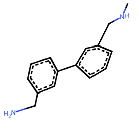 CNCc1cccc(-c2cccc(CN)c2)c1